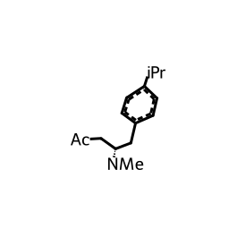 CN[C@H](CC(C)=O)Cc1ccc(C(C)C)cc1